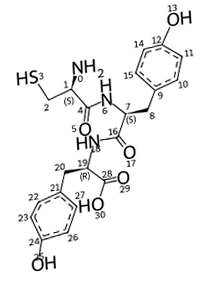 N[C@H](CS)C(=O)N[C@@H](Cc1ccc(O)cc1)C(=O)N[C@H](Cc1ccc(O)cc1)C(=O)O